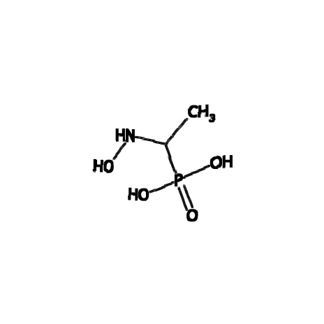 CC(NO)P(=O)(O)O